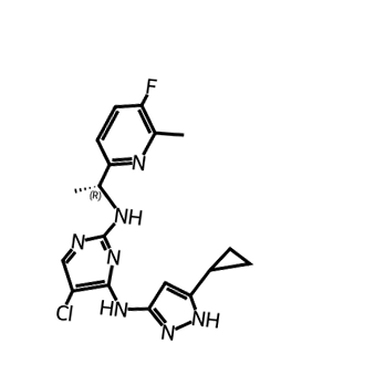 Cc1nc([C@@H](C)Nc2ncc(Cl)c(Nc3cc(C4CC4)[nH]n3)n2)ccc1F